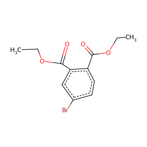 CCOC(=O)c1ccc(Br)cc1C(=O)OCC